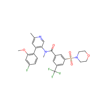 COc1cc(F)ccc1-c1cc(C)ncc1N(C)C(=O)c1cc(C(F)(F)F)cc(S(=O)(=O)N2CCOCC2)c1